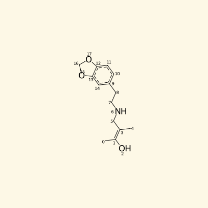 C/C(O)=C(/C)CNCCc1ccc2c(c1)OCO2